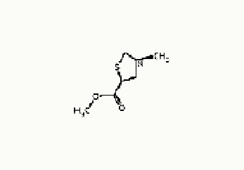 COC(=O)C1C[C@H](C)CS1